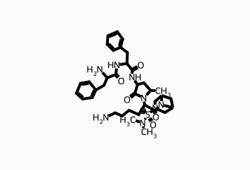 CC1CC(NC(=O)C(Cc2ccccc2)NC(=O)C(N)Cc2ccccc2)C(=O)N1C(CCCCN)C(=O)N1C2CC1CN(S(=O)(=O)N(C)C)C2